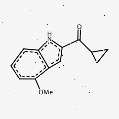 COc1cccc2[nH]c(C(=O)C3CC3)cc12